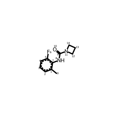 Cc1cccc(F)c1NC(=O)N1CCC1